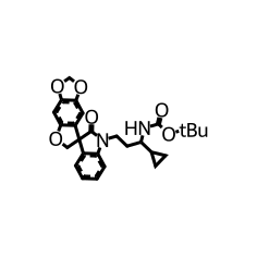 CC(C)(C)OC(=O)NC(CCN1C(=O)C2(COc3cc4c(cc32)OCO4)c2ccccc21)C1CC1